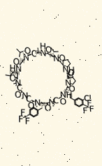 CC[C@H](C)[C@@H]1NC(=O)[C@H](CC(C)C)N(C)C(=O)C[C@@H](C)NC(=O)[C@H](C(C)C)N(C)C(=O)C2(CCCC2)NC(=O)[C@@H]2CCCN2C(=O)[C@H](CCc2ccc(C(F)(F)F)c(Cl)c2)NC(=O)CN(C)C(=O)[C@H](Cc2ccc(C(F)(F)F)cc2)N(C)C(=O)CN(C)C(=O)CN(C)C1=O